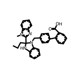 CCCC1(c2nc3ccccc3n2C)Nc2ccccc2N1Cc1ccc(-c2ccccc2C(=O)O)cc1